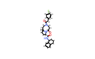 O=C(NC1CCCc2ccccc21)[C@@H]1CC[C@@H]2CCN(C(=O)Cc3ccc(F)cc3)CCC(=O)N21